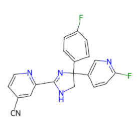 N#Cc1ccnc(C2=NC(c3ccc(F)cc3)(c3ccc(F)nc3)CN2)c1